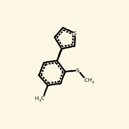 CSc1cc(C)ccc1-c1ccsc1